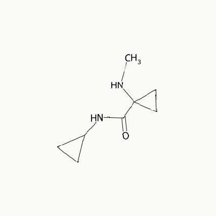 CNC1(C(=O)NC2CC2)CC1